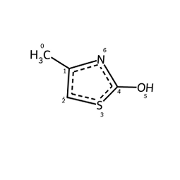 Cc1[c]sc(O)n1